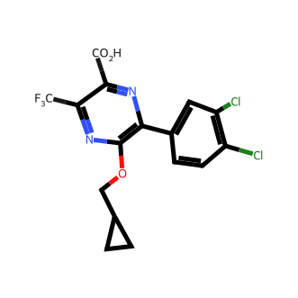 O=C(O)c1nc(-c2ccc(Cl)c(Cl)c2)c(OCC2CC2)nc1C(F)(F)F